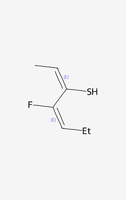 C/C=C(S)\C(F)=C/CC